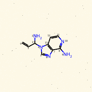 C=CC(N)n1cnc2c(N)nccc21